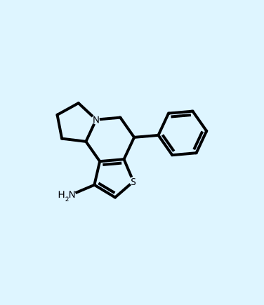 Nc1csc2c1C1CCCN1CC2c1ccccc1